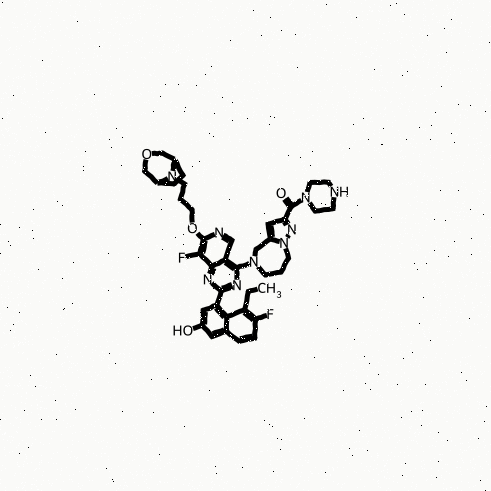 CCc1c(F)ccc2cc(O)cc(-c3nc(N4CCCn5nc(C(=O)N6CCNCC6)cc5C4)c4cnc(OCCCN5C6CCC5COC6)c(F)c4n3)c12